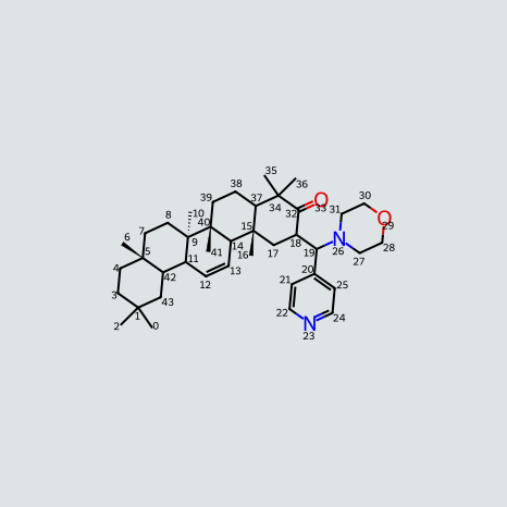 CC1(C)CC[C@]2(C)CC[C@]3(C)C(C=CC4[C@@]5(C)CC(C(c6ccncc6)N6CCOCC6)C(=O)C(C)(C)C5CC[C@]43C)C2C1